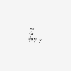 [Al].[Ca].[Mg].[Mn].[Sc]